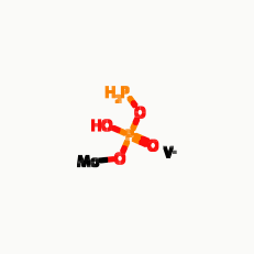 O=P(O)(OP)[O][Mo].[V]